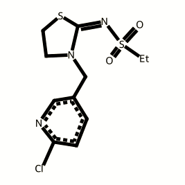 CCS(=O)(=O)/N=C1/SCCN1Cc1ccc(Cl)nc1